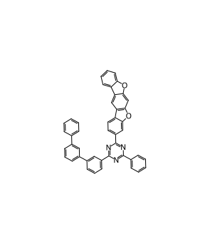 c1ccc(-c2cccc(-c3cccc(-c4nc(-c5ccccc5)nc(-c5ccc6c(c5)oc5cc7oc8ccccc8c7cc56)n4)c3)c2)cc1